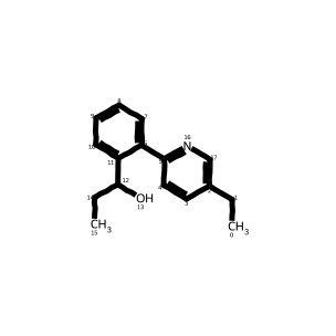 CCc1ccc(-c2ccccc2C(O)CC)nc1